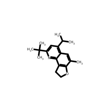 Cc1cc2c(C(C)C)cc(C(C)(C)C)nc2c2c1OCC2